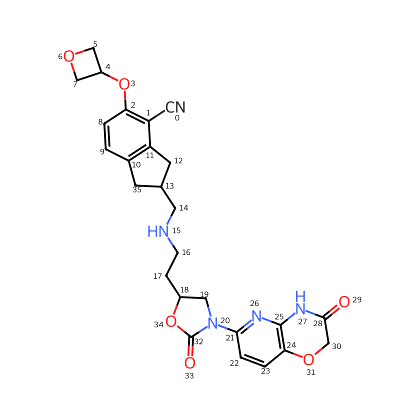 N#Cc1c(OC2COC2)ccc2c1CC(CNCCC1CN(c3ccc4c(n3)NC(=O)CO4)C(=O)O1)C2